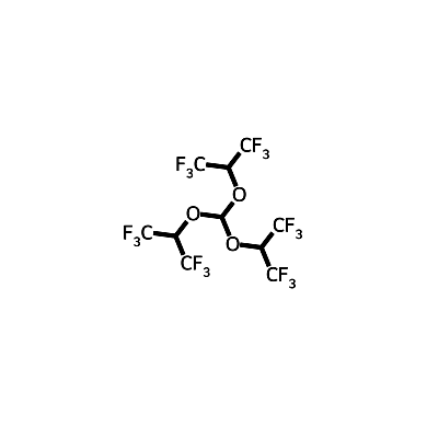 FC(F)(F)C(OC(OC(C(F)(F)F)C(F)(F)F)OC(C(F)(F)F)C(F)(F)F)C(F)(F)F